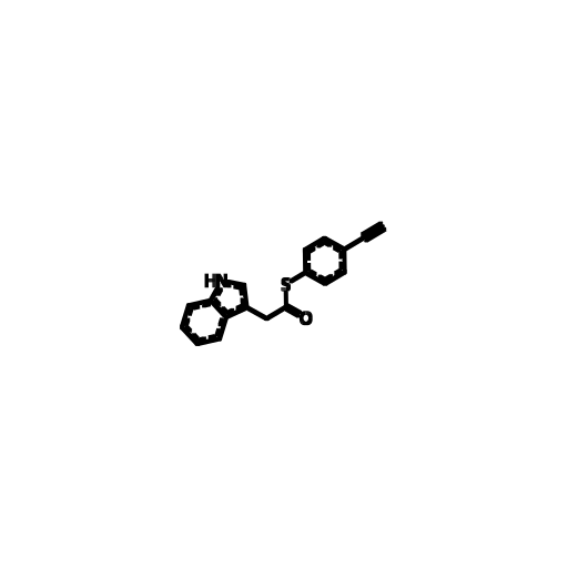 C#Cc1ccc(SC(=O)Cc2c[nH]c3ccccc23)cc1